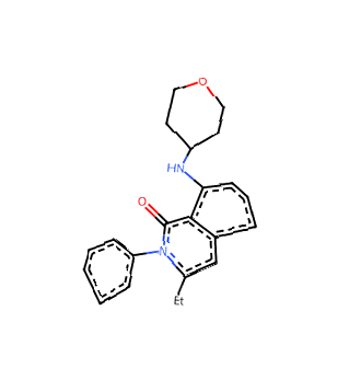 CCc1cc2cccc(NC3CCOCC3)c2c(=O)n1-c1ccccc1